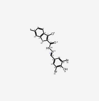 Cc1ccc2c(Cl)c(C(=O)N/N=C/c3cc(Br)c(O)c(Br)c3)sc2c1